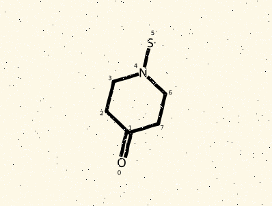 O=C1CCN([S])CC1